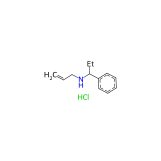 C=CCNC(CC)c1ccccc1.Cl